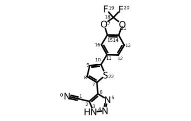 N#Cc1[nH]nnc1-c1ccc(-c2ccc3c(c2)OC(F)(F)O3)s1